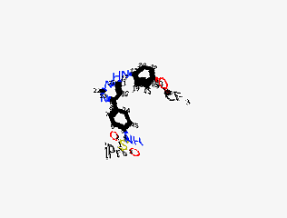 CC(C)S(=O)(=O)NC1=CC=C(c2cc(Nc3ccc(OC(F)(F)F)cc3)ncn2)CC1